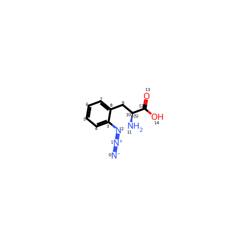 [N-]=[N+]=Nc1ccccc1C[C@H](N)C(=O)O